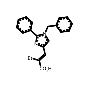 CC/C(=C\c1cn(Cc2ccccc2)c(-c2ccccc2)n1)C(=O)O